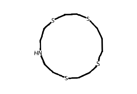 C1CSCCSCCNCCSCCSC1